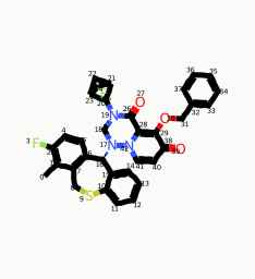 Cc1c(F)ccc2c1CSc1ccccc1[C@H]2N1CN(C2C3CC2C3F)C(=O)c2c(OCc3ccccc3)c(=O)ccn21